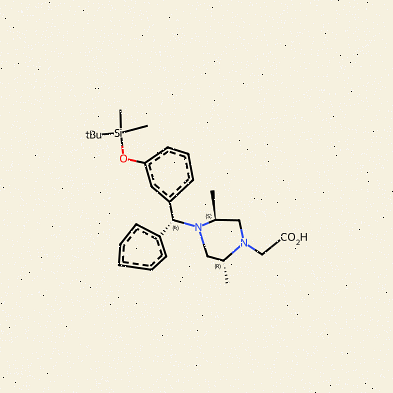 C[C@@H]1CN([C@H](c2ccccc2)c2cccc(O[Si](C)(C)C(C)(C)C)c2)[C@@H](C)CN1CC(=O)O